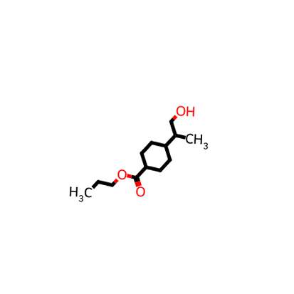 CCCOC(=O)C1CCC(C(C)CO)CC1